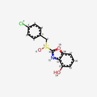 [O-][S+](Cc1ccc(Cl)cc1)c1nc2c(O)cccc2o1